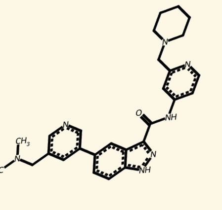 CN(C)Cc1cncc(-c2ccc3[nH]nc(C(=O)Nc4ccnc(CN5CCCCC5)c4)c3c2)c1